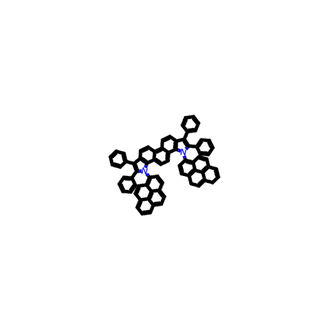 C1=Cc2ccc3c(-n4c(-c5ccccc5)c(-c5ccccc5)c5ccc6c7ccc8c(-c9ccccc9)c(-c9ccccc9)n(-c9ccc%10ccc%11cccc%12ccc9c%10c%11%12)c8c7ccc6c54)ccc4c3c2C(=CC4)C1